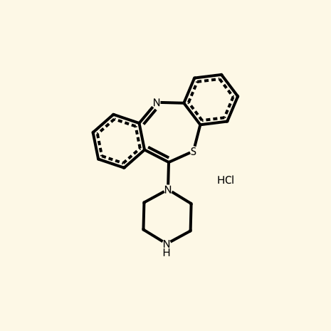 Cl.c1ccc2c(c1)N=c1ccccc1=C(N1CCNCC1)S2